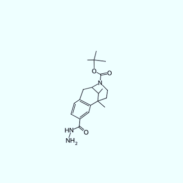 CC1C2Cc3ccc(C(=O)NN)cc3C1(C)CCN2C(=O)OC(C)(C)C